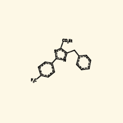 CCOC(=O)c1sc(-c2ccc(C(F)(F)F)cc2)nc1Cc1ccccc1